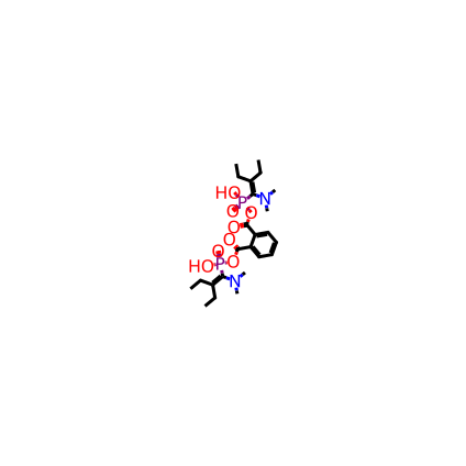 CCC(CC)=C(N(C)C)P(=O)(O)OC(=O)c1ccccc1C(=O)OP(=O)(O)C(=C(CC)CC)N(C)C